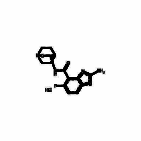 Cl.Nc1nc2c(C(=O)NC3CN4CCC3CC4)c(F)ccc2o1